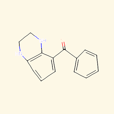 O=C(c1ccccc1)c1cccc2c1NCCN2